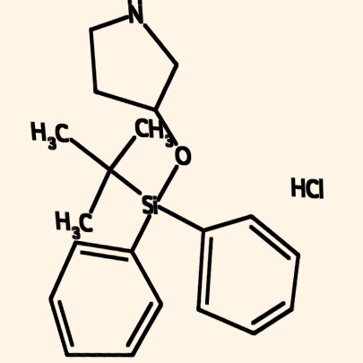 CC(C)(C)[Si](OC1CCNC1)(c1ccccc1)c1ccccc1.Cl